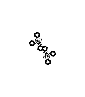 O=P(Oc1ccccc1)(Oc1ccccc1)Oc1cccc2c(OP(=O)(Oc3ccccc3)Oc3ccccc3)cccc12